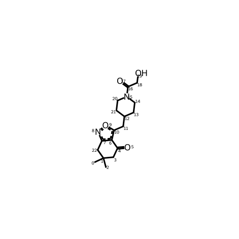 CC1(C)CC(=O)c2c(noc2CC2CCN(C(=O)CO)CC2)C1